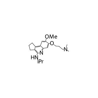 COc1cc2c3c(c(NC(C)C)nc2cc1OCCCN(C)C)CCC3